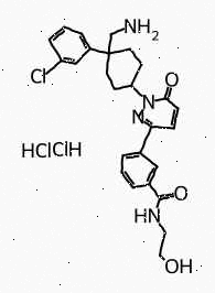 Cl.Cl.NCC1(c2cccc(Cl)c2)CCC(n2nc(-c3cccc(C(=O)NCCO)c3)ccc2=O)CC1